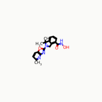 Cc1ccc2oc(N3Cc4c(C(=O)NO)cccc4C3(C)C)nc2n1